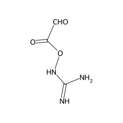 N=C(N)NOC(=O)C=O